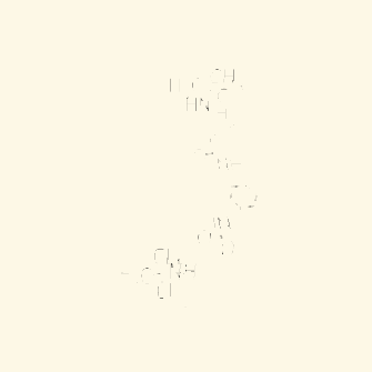 CC(C)(C)NCCOC(=O)NCc1cccc(CNC(=O)OCCNC(C)(C)C)c1